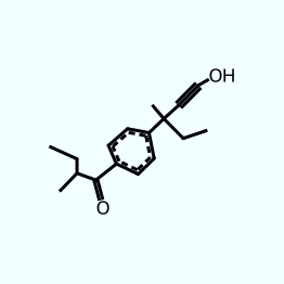 CCC(C)C(=O)c1ccc(C(C)(C#CO)CC)cc1